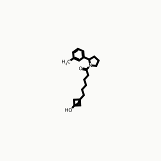 Cc1cccc(C2CCCN2C(=O)CCCCCC23CC(O)(C2)C3)c1